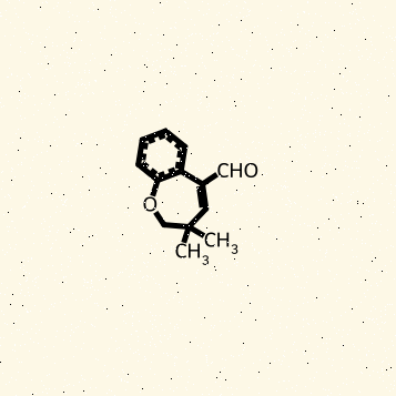 CC1(C)C=C(C=O)c2ccccc2OC1